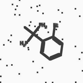 CCc1ccccc1C(C)(P)P